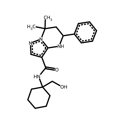 CC1(C)CC(c2ccccc2)Nc2c(C(=O)NC3(CO)CCCCC3)cnn21